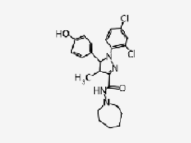 CC1C(C(=O)NN2CCCCCC2)=NN(c2ccc(Cl)cc2Cl)C1c1ccc(O)cc1